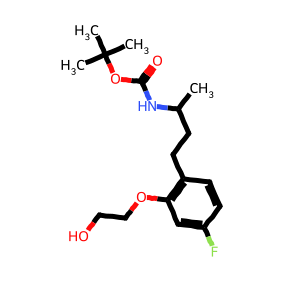 CC(CCc1ccc(F)cc1OCCO)NC(=O)OC(C)(C)C